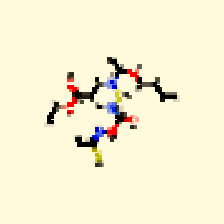 CCCCOC(C)N(CCC(=O)OCC)SN(C)C(=O)ON=C(C)S